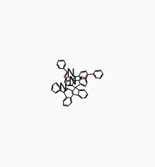 c1ccc(-c2ccc(-c3nc(-c4ccccc4)cc(-n4c5ccccc5c5c6ccccc6c6c(c54)C4(c5ccccc5-c5ccccc54)c4ccccc4-6)n3)cc2)cc1